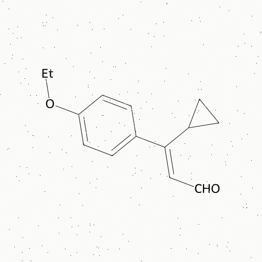 CCOc1ccc(C(=CC=O)C2CC2)cc1